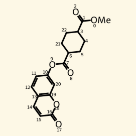 COC(=O)C1CCC(C(=O)Oc2ccc3ccc(=O)oc3c2)CC1